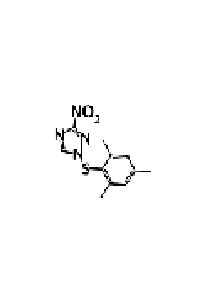 Cc1cc(C)c(Sn2cnc([N+](=O)[O-])n2)c(C)c1